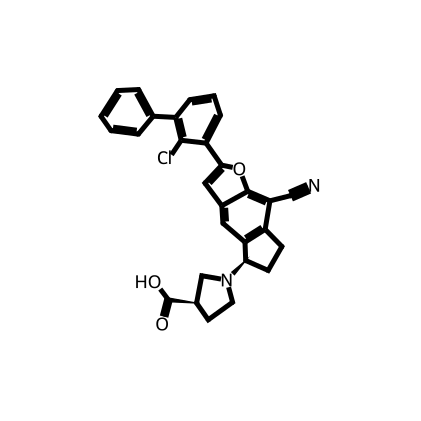 N#Cc1c2c(cc3cc(-c4cccc(-c5ccccc5)c4Cl)oc13)[C@H](N1CC[C@@H](C(=O)O)C1)CC2